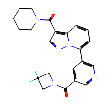 O=C(c1cncc(-c2cccc3c(C(=O)N4CCCCC4)cnn23)c1)N1CC(F)(F)C1